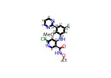 CCONC(=O)c1cnc(Cl)cc1Nc1cc(F)cc(-c2ncccn2)c1OC